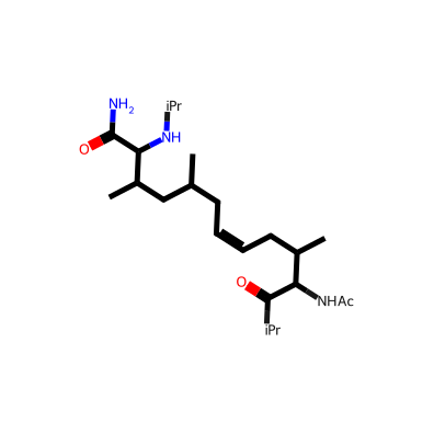 CC(=O)NC(C(=O)C(C)C)C(C)C/C=C\CC(C)CC(C)C(NC(C)C)C(N)=O